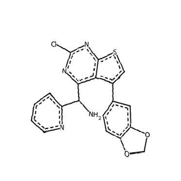 NC(c1ccccn1)c1nc(Cl)nc2scc(-c3ccc4c(c3)OCO4)c12